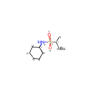 CCCCC(C)S(=O)(=O)NC1CCCCC1